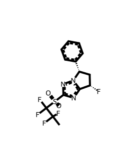 CC(F)(F)C(F)(F)S(=O)(=O)c1nc2n(n1)[C@H](c1ccccc1)C[C@@H]2F